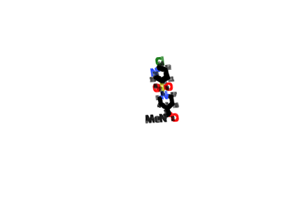 CNC(=O)C1CCN(S(=O)(=O)c2ccc(Cl)nc2)CC1